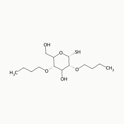 CCCCO[C@@H]1C(CO)O[C@H](S)[C@H](OCCCC)C1O